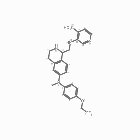 CN(c1ccc(OCC(F)(F)F)cc1)c1ccc2c(c1)CCNC2CNc1cnccc1C(=O)O